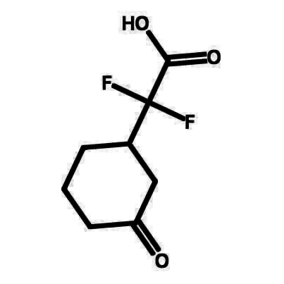 O=C1CCCC(C(F)(F)C(=O)O)C1